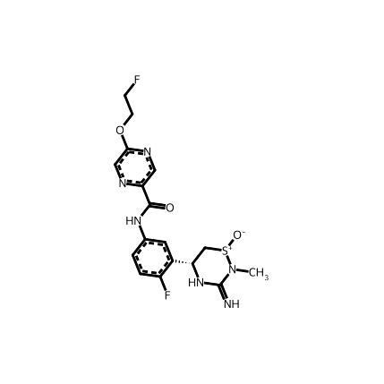 CN1C(=N)N[C@H](c2cc(NC(=O)c3cnc(OCCF)cn3)ccc2F)C[S+]1[O-]